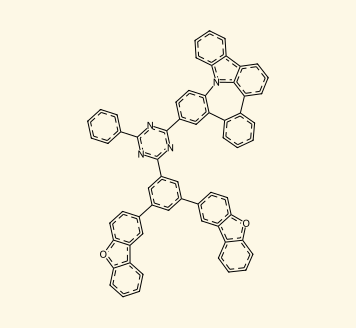 c1ccc(-c2nc(-c3cc(-c4ccc5oc6ccccc6c5c4)cc(-c4ccc5oc6ccccc6c5c4)c3)nc(-c3ccc4c(c3)-c3ccccc3-c3cccc5c6ccccc6n-4c35)n2)cc1